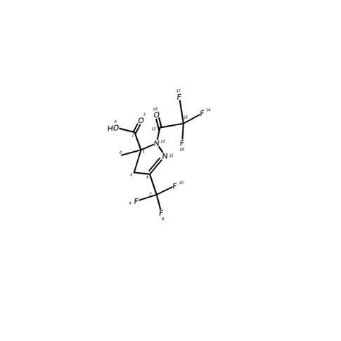 CC1(C(=O)O)CC(C(F)(F)F)=NN1C(=O)C(F)(F)F